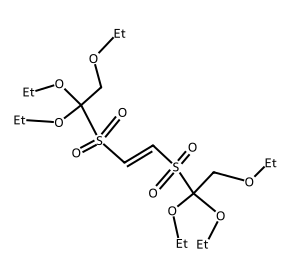 CCOCC(OCC)(OCC)S(=O)(=O)C=CS(=O)(=O)C(COCC)(OCC)OCC